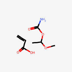 C=CC(=O)O.COC(C)OC(N)=O